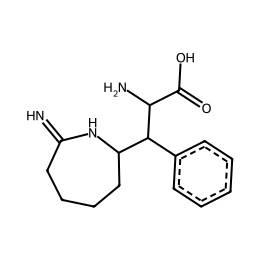 N=C1CCCCC(C(c2ccccc2)C(N)C(=O)O)N1